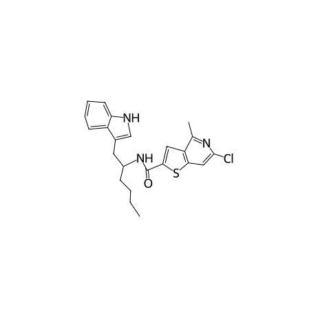 CCCCC(Cc1c[nH]c2ccccc12)NC(=O)c1cc2c(C)nc(Cl)cc2s1